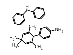 CC1=CC(C)(N)C=C(C)C1c1ccc(N)cc1.c1ccc(Pc2ccccc2)cc1